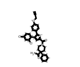 C#CCOc1ccc(-c2sc(C(=O)N3CCC(C(N)=O)(c4ccccc4)CC3)cc2-c2ccc(Cl)cc2Cl)cc1